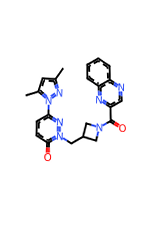 Cc1cc(C)n(-c2ccc(=O)n(CC3CN(C(=O)c4cnc5ccccc5n4)C3)n2)n1